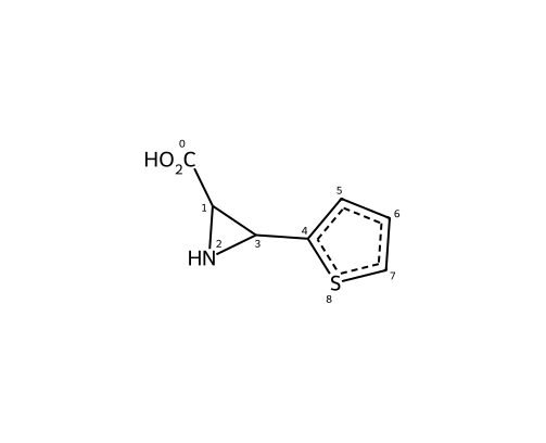 O=C(O)C1NC1c1cccs1